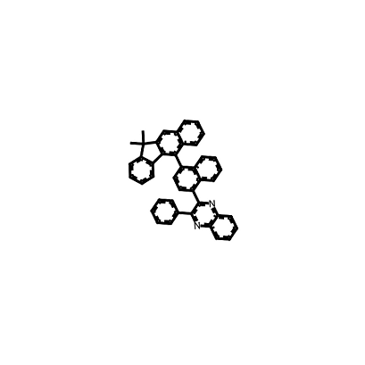 CC1(C)c2ccccc2-c2c1cc1ccccc1c2-c1ccc(-c2nc3ccccc3nc2-c2ccccc2)c2ccccc12